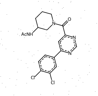 CC(=O)NC1CCCN(C(=O)c2cc(-c3ccc(Cl)c(Cl)c3)ncn2)C1